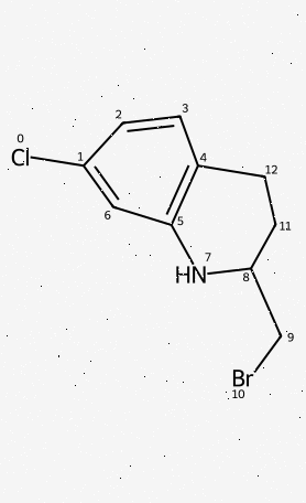 Clc1ccc2c(c1)NC(CBr)CC2